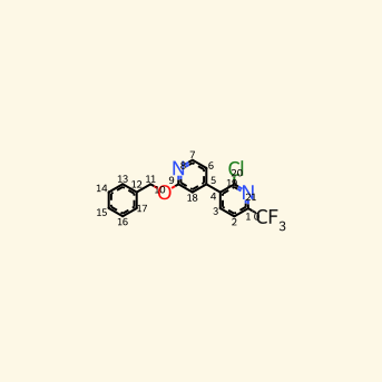 FC(F)(F)c1ccc(-c2ccnc(OCc3ccccc3)c2)c(Cl)n1